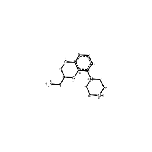 NCC1COc2cccc(N3CCNCC3)c2O1